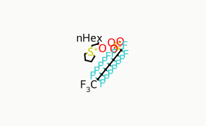 CCCCCCC(=O)C[S+]1CCCC1.O=S(=O)([O-])C(F)(F)C(F)(F)C(F)(F)C(F)(F)C(F)(F)C(F)(F)C(F)(F)C(F)(F)F